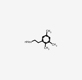 [CH2]CCCCCCCc1cc(C)cc(C)c1C